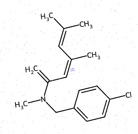 C=C(/C=C(/C)C=C(C)C)N(C)Cc1ccc(Cl)cc1